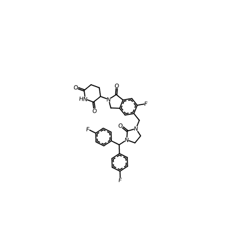 O=C1CCC(N2Cc3cc(CN4CCN(C(c5ccc(F)cc5)c5ccc(F)cc5)C4=O)c(F)cc3C2=O)C(=O)N1